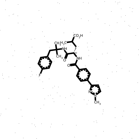 CC(C[C@H](NC(=O)c1ccc(-c2ccn(C)n2)cc1)C(=O)NC(C)(C)Cc1ccc(F)cc1)C(=O)O